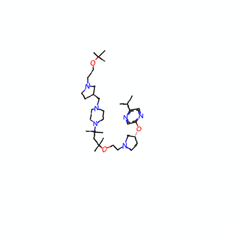 CC(C)c1cnc(O[C@@H]2CCN(CCOC(C)(C)CC(C)(C)N3CCN(C[C@H]4CCN(CCOC(C)(C)C)C4)CC3)C2)cn1